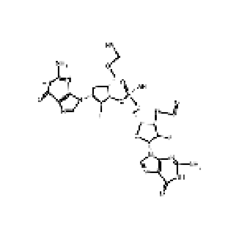 Nc1nc2c(ncn2[C@@H]2O[C@H](CO[P@@](=O)(S)O[C@H]3[C@@H](F)[C@H](n4cnc5c(=O)[nH]c(N)nc54)O[C@@H]3COCS)[C@@H](OP=O)[C@H]2F)c(=O)[nH]1